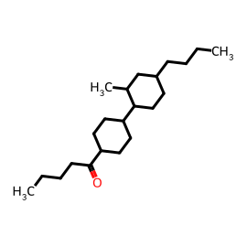 CCCCC(=O)C1CCC(C2CCC(CCCC)CC2C)CC1